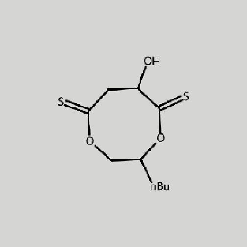 CCCCC1COC(=S)CC(O)C(=S)O1